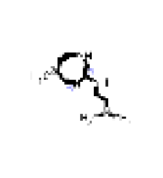 C[C@@H]1C#CN/C=C(NCCN(C)C)\N=C/1